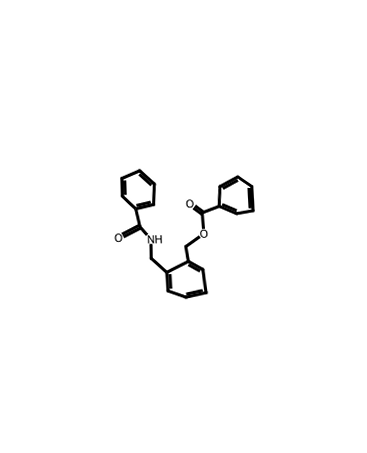 O=C(NCc1ccccc1COC(=O)c1ccccc1)c1ccccc1